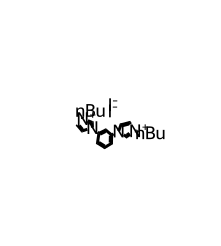 CCCC[n+]1ccn(-c2cccc(-n3cc[n+](CCCC)c3)c2)c1.[I-].[I-]